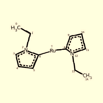 CCn1ccc[c]1[Ru][c]1cccn1CC